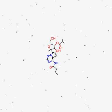 CCCC(=O)Nc1ncnn2c([C@]3(C)O[C@H](CO)[C@@H](OC(=O)C(C)C)[C@H]3O)ccc12